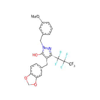 COc1cccc(Cn2nc(C(F)(F)C(F)(F)C(F)(F)F)c(Cc3ccc4c(c3)OCO4)c2O)c1